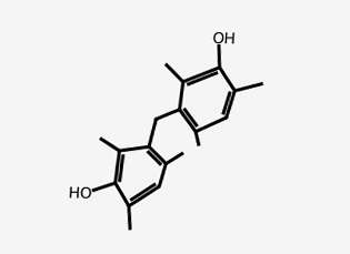 Cc1cc(C)c(Cc2c(C)cc(C)c(O)c2C)c(C)c1O